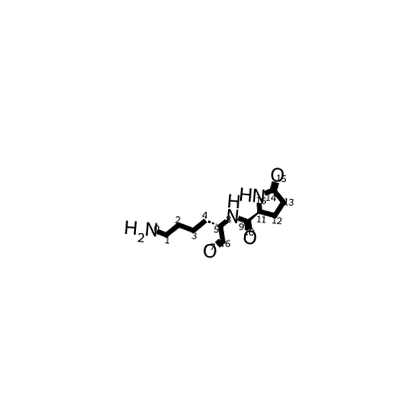 NCCCC[C@@H]([C]=O)NC(=O)[C@@H]1CCC(=O)N1